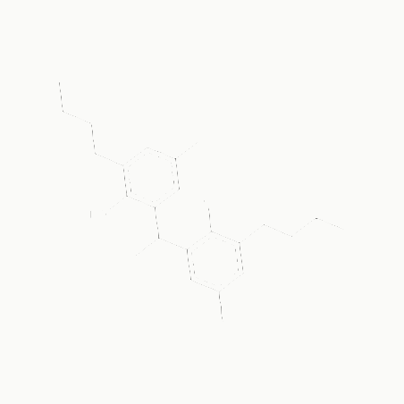 CCCCc1cc(C)cc(C(C)c2cc(C)cc(CCCC)c2O)c1O